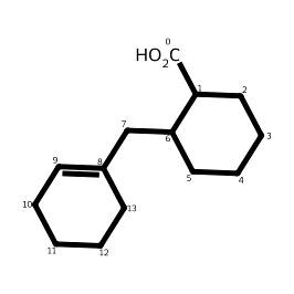 O=C(O)C1CCCCC1CC1=CCCCC1